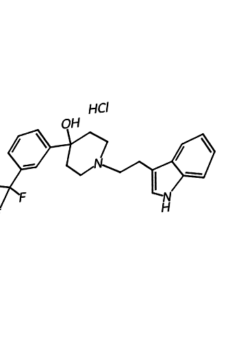 Cl.OC1(c2cccc(C(F)(F)F)c2)CCN(CCc2c[nH]c3ccccc23)CC1